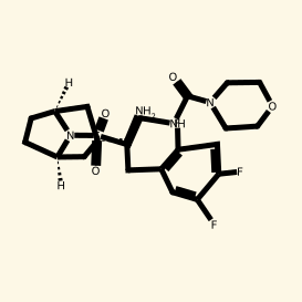 NC(Cc1cc(F)c(F)cc1F)[C@@H]1C[C@H]2CC[C@@H](C1)N2S(=O)(=O)CCNC(=O)N1CCOCC1